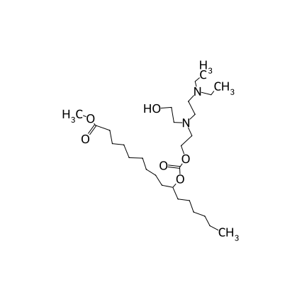 CCCCCCC(CCCCCCCCC(=O)OC)OC(=O)OCCN(CCO)CCN(CC)CC